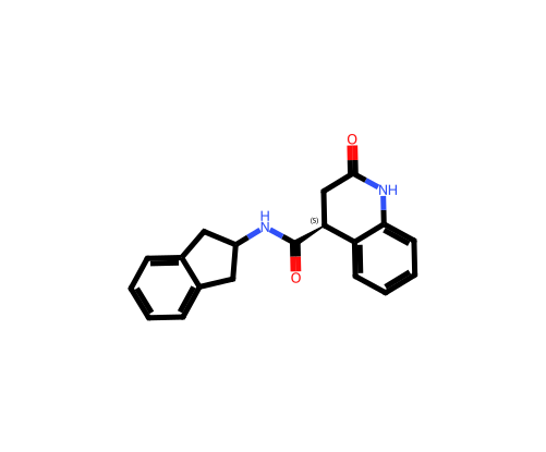 O=C1C[C@H](C(=O)NC2Cc3ccccc3C2)c2ccccc2N1